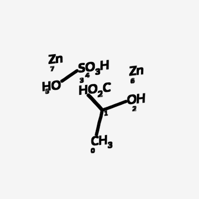 CC(O)C(=O)O.O=S(=O)(O)O.[Zn].[Zn]